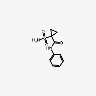 NS(=O)(=O)C1(C(=O)Nc2ccccc2)CC1